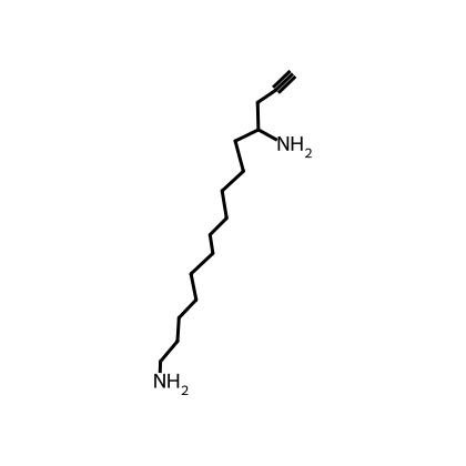 C#CCC(N)CCCCCCCCCCCN